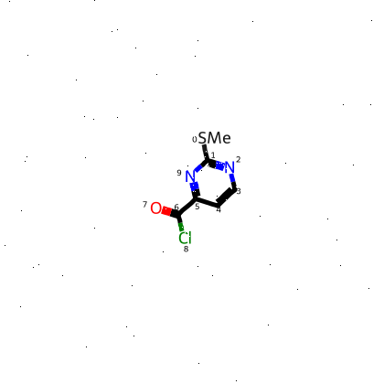 CSc1nccc(C(=O)Cl)n1